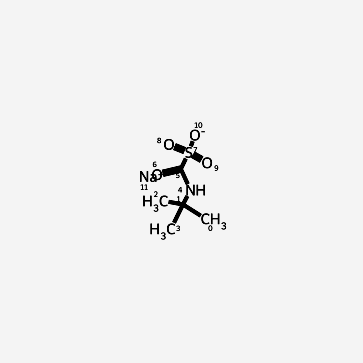 CC(C)(C)NC(=O)S(=O)(=O)[O-].[Na+]